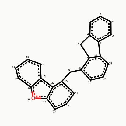 c1ccc2c(c1)Cc1c(Cc3cccc4oc5ccccc5c34)cccc1-2